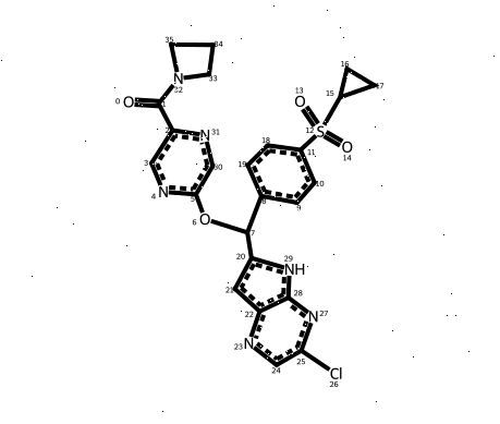 O=C(c1cnc(OC(c2ccc(S(=O)(=O)C3CC3)cc2)c2cc3ncc(Cl)nc3[nH]2)cn1)N1CCC1